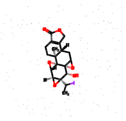 CC(I)[C@]12O[C@H]1[C@@H]1O[C@@]13[C@@]1(C)CCC4=C(COC4=O)[C@@H]1CC1O[C@@]13[C@@H]2O